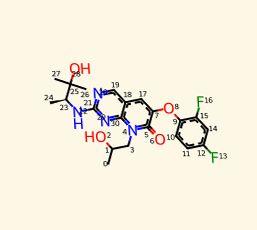 CC(O)Cn1c(=O)c(Oc2ccc(F)cc2F)cc2cnc(N[C@@H](C)C(C)(C)O)nc21